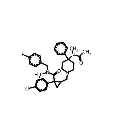 CC(=O)N(C)C1(c2ccccc2)CCN(CC2CC2(C(=O)N(C)Cc2ccc(F)cc2)c2ccc(Cl)cc2)CC1